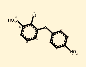 CCc1c(Sc2ccc([N+](=O)[O-])cc2)cccc1S(=O)(=O)O